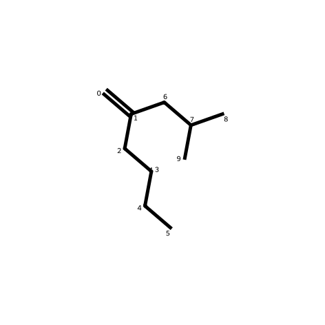 C=C(C[CH]CC)CC(C)C